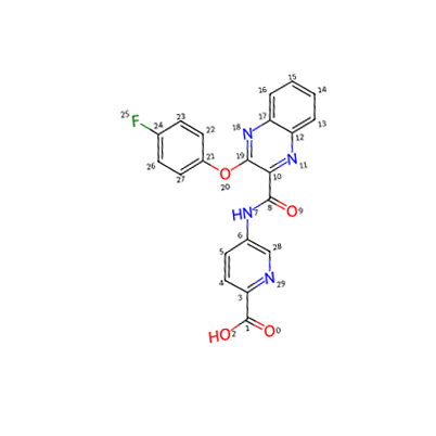 O=C(O)c1ccc(NC(=O)c2nc3ccccc3nc2Oc2ccc(F)cc2)cn1